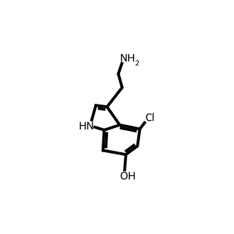 NCCc1c[nH]c2cc(O)cc(Cl)c12